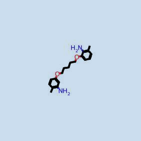 Cc1ccc(OCCCCCOc2cccc(C)c2N)cc1N